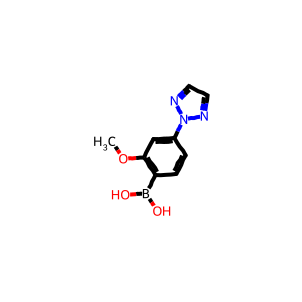 COc1cc(-n2nccn2)ccc1B(O)O